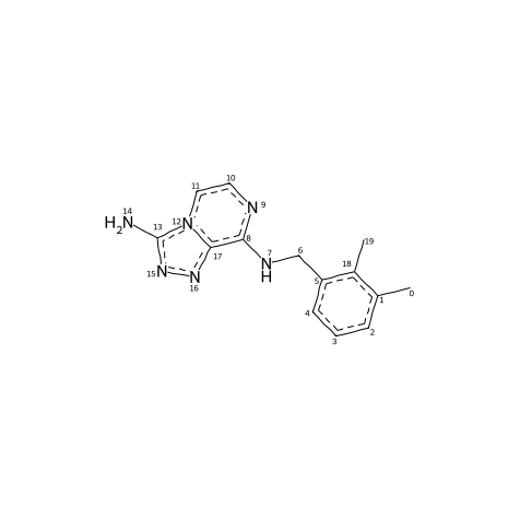 Cc1cccc(CNc2nccn3c(N)nnc23)c1C